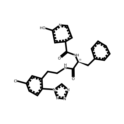 O=C(N[C@@H](Cc1ccccc1)C(=O)NCCc1cc(Cl)ccc1-n1cnnn1)c1ccnc(O)c1